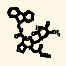 COC(=O)CN(C(=O)Cn1cc(C)c(=O)[nH]c1=O)[C@@H]1COC[C@H]1NC(=O)OCC1c2ccccc2-c2ccccc21